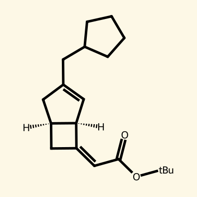 CC(C)(C)OC(=O)/C=C1/C[C@H]2CC(CC3CCCC3)=C[C@@H]12